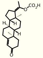 CC(OC(=O)O)=C1CC[C@H]2[C@@H]3CCC4=CC(=O)CC[C@]4(C)[C@H]3CC[C@]12C